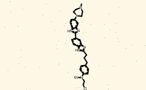 CCN(CCCl)c1ccc(CCCc2nc3cc(-c4nc5cc(N6CCN(C)CC6)ccc5[nH]4)ccc3[nH]2)cc1